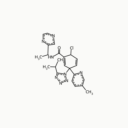 Cc1ccc(C2(n3nnnc3C(C)C)C=CC(Cl)C(C(=O)NC(C)c3cnccn3)=C2)nc1